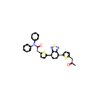 CC(=O)Cc1ccc(-c2ccc(-c3ccc(CC(=O)N(c4ccccc4)c4ccccc4)s3)c3nsnc23)s1